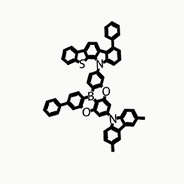 Cc1ccc2c(c1)c1cc(C)ccc1n2-c1cc2c3c(c1)Oc1cc(-n4c5cccc(-c6ccccc6)c5c5ccc6c7ccccc7sc6c54)ccc1B3c1ccc(-c3ccccc3)cc1O2